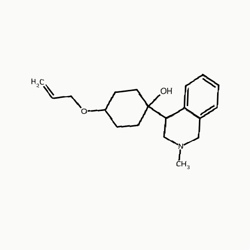 C=CCOC1CCC(O)(C2CN(C)Cc3ccccc32)CC1